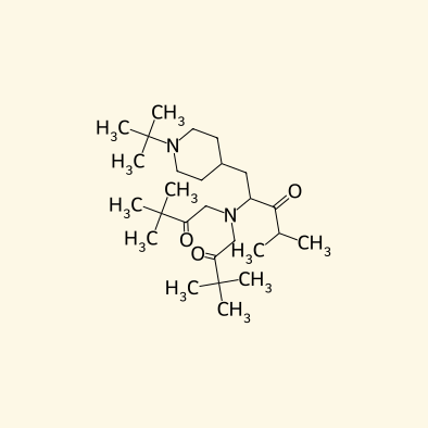 CC(C)C(=O)C(CC1CCN(C(C)(C)C)CC1)N(CC(=O)C(C)(C)C)CC(=O)C(C)(C)C